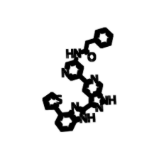 O=C(Cc1ccccc1)Nc1cncc(-c2cc3c(-c4nc5c(-c6cccs6)cccc5[nH]4)n[nH]c3cn2)c1